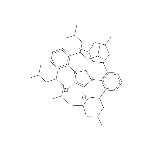 CC(C)CC(CC(C)C)c1cccc(C(CC(C)C)CC(C)C)c1N1CN(c2c(C(CC(C)C)CC(C)C)cccc2C(CC(C)C)CC(C)C)C(Cl)=C1Cl